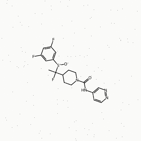 CC(F)(C1CCN(C(=O)Nc2ccnnc2)CC1)[S+]([O-])c1cc(F)cc(F)c1